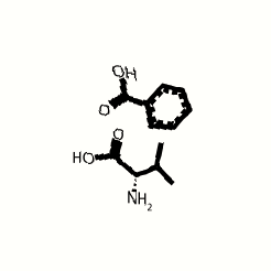 CC(C)[C@H](N)C(=O)O.O=C(O)c1ccccc1